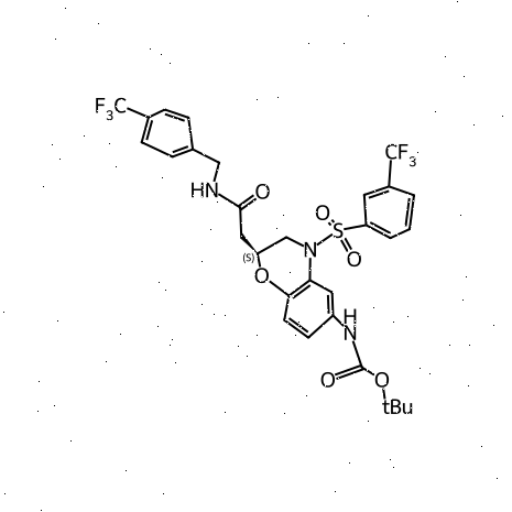 CC(C)(C)OC(=O)Nc1ccc2c(c1)N(S(=O)(=O)c1cccc(C(F)(F)F)c1)C[C@H](CC(=O)NCc1ccc(C(F)(F)F)cc1)O2